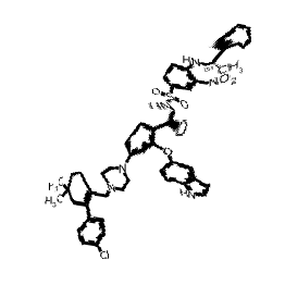 C[C@H](Nc1ccc(S(=O)(=O)NC(=O)c2ccc(N3CCN(CC4=C(c5ccc(Cl)cc5)CC(C)(C)CC4)CC3)cc2Oc2ccc3[nH]ccc3c2)cc1[N+](=O)[O-])c1ccccc1